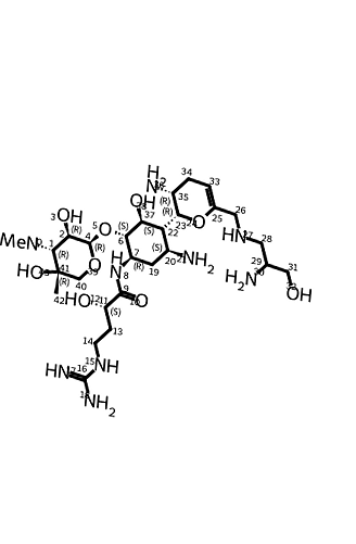 CN[C@@H]1[C@@H](O)[C@@H](O[C@H]2[C@H](NC(=O)[C@@H](O)CCNC(=N)N)C[C@H](N)C([C@H]3OC(CNCC(N)CO)=CC[C@H]3N)[C@@H]2O)OC[C@]1(C)O